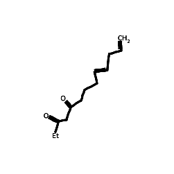 C=CCC=CCCCC(=O)CC(=O)CC